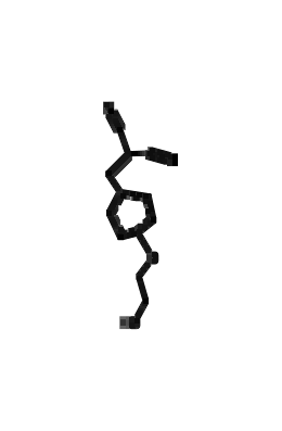 N#CC(C#N)=Cc1ccc(OCCO)cc1